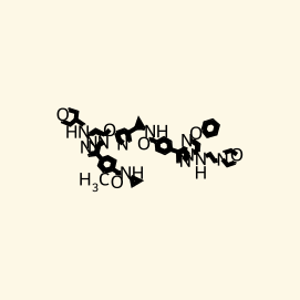 Cc1cc(-c2cnn3c(NCC4CCOCC4)cc(Oc4cncc(C5CC5NC(=O)c5ccc(-c6cnn7c(NCCN8CCOCC8)cc(Oc8ccccc8)nc67)cc5)c4)nc23)ccc1C(=O)NC1CC1